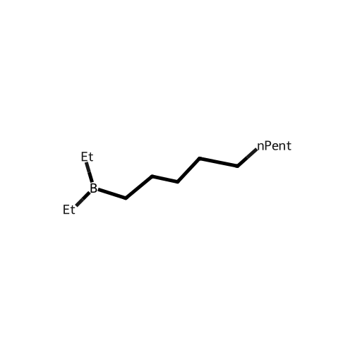 CCCCCCCCCCB(CC)CC